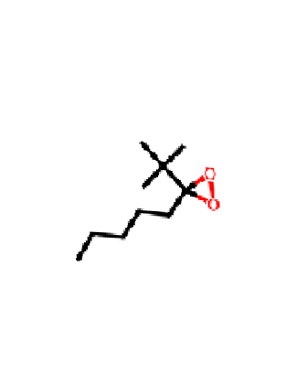 CCCC[CH]C1(C(C)(C)C)OO1